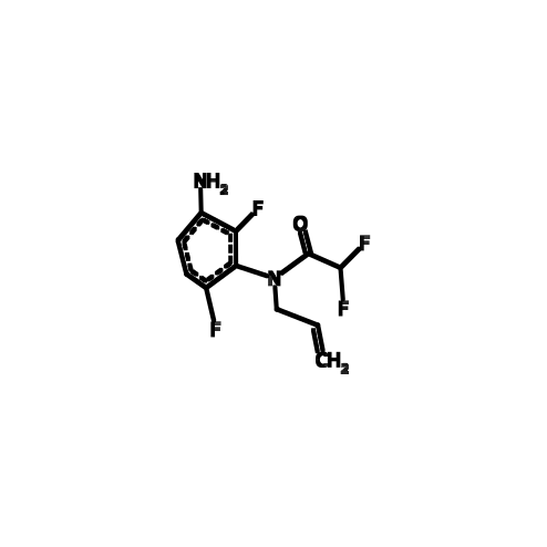 C=CCN(C(=O)C(F)F)c1c(F)ccc(N)c1F